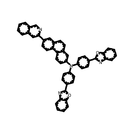 c1ccc2cc(-c3ccc4c(ccc5cc(N(c6ccc(-c7nc8ccccc8o7)cc6)c6ccc(-c7nc8ccccc8o7)cc6)ccc54)c3)ncc2c1